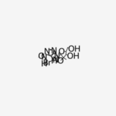 CONc1ncnc2c1c(Br)nn2C1OC(CO)C(O)C1(C)O